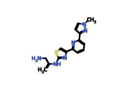 C=C(CN)Nc1nc(-c2cccc(-c3ccn(C)n3)n2)cs1